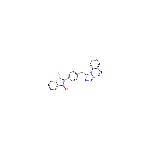 O=C1c2ccccc2C(=O)N1c1ccc(Cc2ncc3cnc4ccccc4n23)cc1